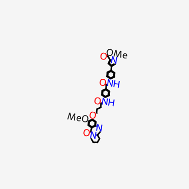 COC(=O)c1cc(-c2ccc(NC(=O)c3ccc(NC(=O)CCCOc4cc5c(cc4OC)C(=O)N4CCCCC4C=N5)cc3)cc2)cn1C